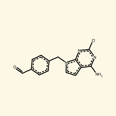 Nc1nc(Cl)nc2c1ccn2Cc1ccc(C=O)cc1